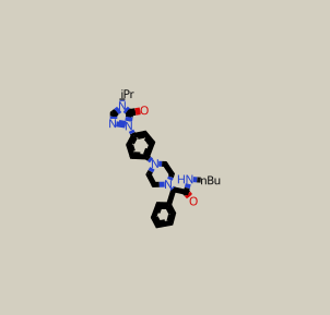 CCCCNC(=O)C(c1ccccc1)N1CCN(c2ccc(-n3ncn(C(C)C)c3=O)cc2)CC1